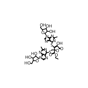 CCOC(=O)C1(CSc2nc(C)nc3c2ncn3C2OC(CO)C(O)C2O)OC(=O)C(O)=C1Sc1nc(C)nc2c1ncn2C1OC(CO)C(O)C1O